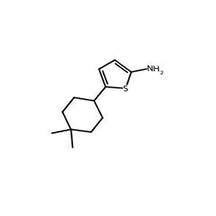 CC1(C)CCC(c2ccc(N)s2)CC1